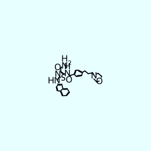 NC(=O)c1nc(Nc2ccc3ccccc3c2)sc1NC(=O)c1ccc(CCCN2CCOCC2)cc1